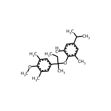 CCC(C)(Oc1c(C)cc(C(C)C)cc1C)c1cc(C)c(OC)c(C)c1